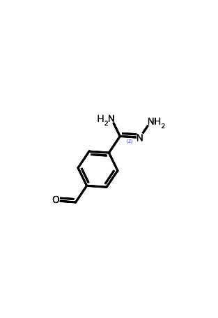 N/N=C(\N)c1ccc(C=O)cc1